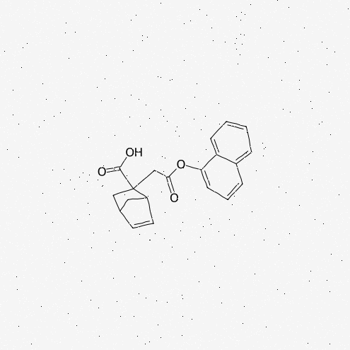 O=C(CC1(C(=O)O)CC2C=CC1C2)Oc1cccc2ccccc12